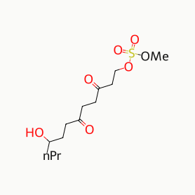 CCCC(O)CCC(=O)CCC(=O)CCOS(=O)(=O)OC